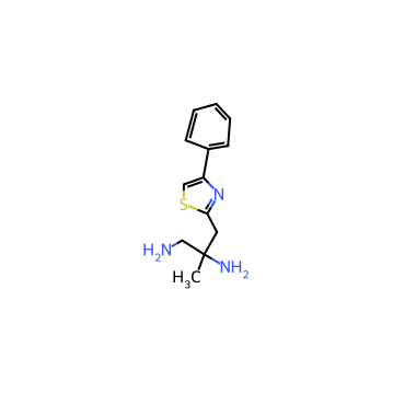 CC(N)(CN)Cc1nc(-c2ccccc2)cs1